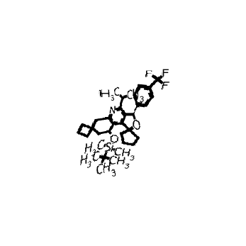 CC(C)c1nc2c(c3c1[C@@H](c1ccc(C(F)(F)F)cc1)OC31CCCC1)C(O[Si](C)(C)C(C)(C)C)CC1(CCC1)C2